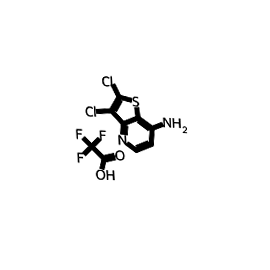 Nc1ccnc2c(Cl)c(Cl)sc12.O=C(O)C(F)(F)F